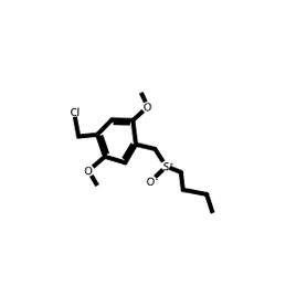 CCCC[S+]([O-])Cc1cc(OC)c(CCl)cc1OC